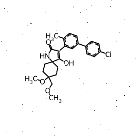 COCC1(OC)CCC2(CC1)NC(=O)C(c1cc(-c3ccc(Cl)cc3)ccc1C)=C2O